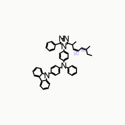 CC/C(C)=C\C=C/C(C)c1nnc(-c2ccccc2)n1-c1ccc(N(c2ccccc2)c2ccc(-n3c4ccccc4c4ccccc43)cc2)cc1